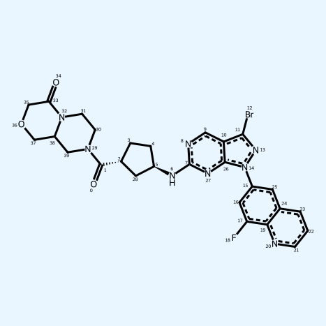 O=C([C@@H]1CC[C@@H](Nc2ncc3c(Br)nn(-c4cc(F)c5ncccc5c4)c3n2)C1)N1CCN2C(=O)COCC2C1